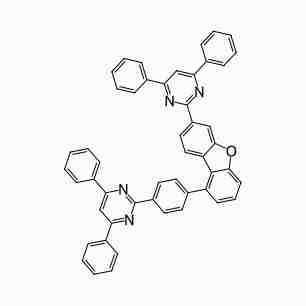 c1ccc(-c2cc(-c3ccccc3)nc(-c3ccc(-c4cccc5oc6cc(-c7nc(-c8ccccc8)cc(-c8ccccc8)n7)ccc6c45)cc3)n2)cc1